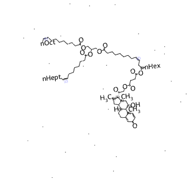 CCCCCCC/C=C\CCCCCCC(=O)OC(COC(=O)CCCCCCC/C=C\CCCCCCCC)COC(=O)CCCCCCC/C=C\C[C@@H](CCCCCC)OC(=O)CCC(=O)OCC(=O)[C@H]1[C@H](C)CC2[C@@H]3CCC4=CC(=O)C=C[C@]4(C)C3[C@@H](O)C[C@@]21C